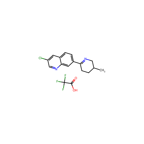 CC1CCC(c2ccc3cc(Cl)cnc3c2)=NC1.O=C(O)C(F)(F)F